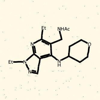 CCc1nc2c(cnn2CC)c(NC2CCOCC2)c1CNC(C)=O